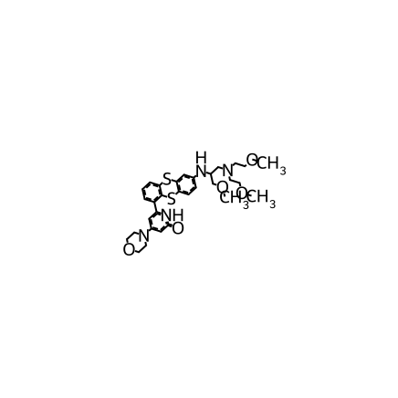 COCCN(CCOC)CC(COC)Nc1ccc2c(c1)Sc1cccc(-c3cc(N4CCOCC4)cc(=O)[nH]3)c1S2